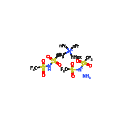 CCCCCC[N+](CCC)(CCC)CCCC.N.O=S(=O)(NS(=O)(=O)C(F)(F)F)C(F)(F)F.O=S(=O)([N-]S(=O)(=O)C(F)(F)F)C(F)(F)F